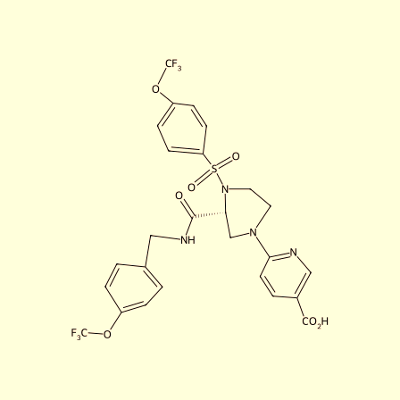 O=C(O)c1ccc(N2CCN(S(=O)(=O)c3ccc(OC(F)(F)F)cc3)[C@@H](C(=O)NCc3ccc(OC(F)(F)F)cc3)C2)nc1